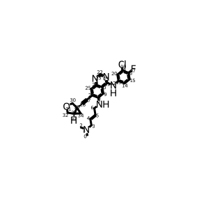 CN(C)C/C=C/CNc1cc2c(Nc3ccc(F)c(Cl)c3)ncnc2cc1C#C[C@]12COC[C@H]1C2